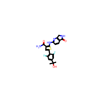 CC(C)(O)c1cc(F)c(-c2cc(C(N)=O)c(Nc3ccc4c(n3)CNC4=O)s2)c(F)c1